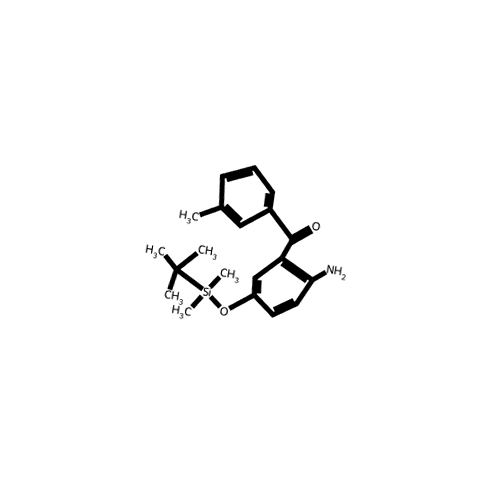 Cc1cccc(C(=O)c2cc(O[Si](C)(C)C(C)(C)C)ccc2N)c1